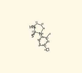 Cc1cc(Cl)ccc1N1CCCNC1=S